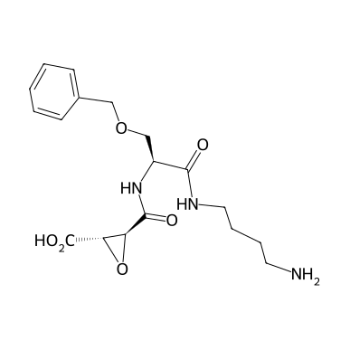 NCCCCNC(=O)[C@H](COCc1ccccc1)NC(=O)[C@H]1O[C@@H]1C(=O)O